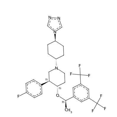 C[C@@H](O[C@H]1CCN([C@H]2CC[C@H](n3cnnc3)CC2)C[C@@H]1c1ccc(F)cc1)c1cc(C(F)(F)F)cc(C(F)(F)F)c1